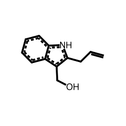 C=CCc1[nH]c2ccccc2c1CO